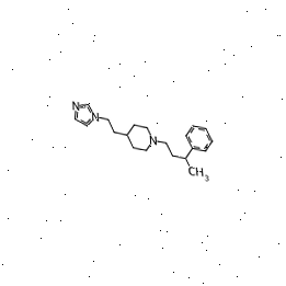 CC(CCN1CCC(CCn2ccnc2)CC1)c1ccccc1